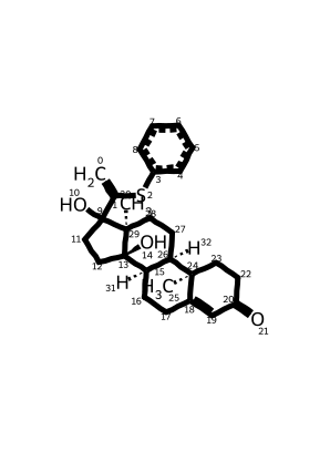 C=C(Sc1ccccc1)C1(O)CC[C@@]2(O)[C@@H]3CCC4=CC(=O)CC[C@]4(C)[C@@H]3CC[C@]12C